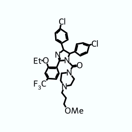 CCOc1cc(C(F)(F)F)ccc1C1=NC(c2ccc(Cl)cc2)C(c2ccc(Cl)cc2)N1C(=O)N1CCN(CCCOC)CC1